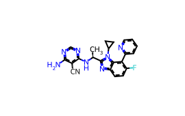 C[C@H](Nc1ncnc(N)c1C#N)c1nc2ccc(F)c(-c3ccccn3)c2n1C1CC1